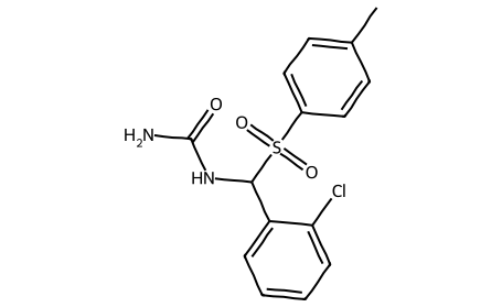 Cc1ccc(S(=O)(=O)C(NC(N)=O)c2ccccc2Cl)cc1